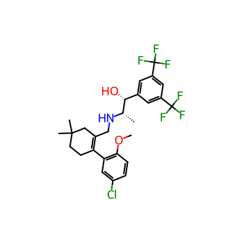 COc1ccc(Cl)cc1C1=C(CN[C@@H](C)[C@H](O)c2cc(C(F)(F)F)cc(C(F)(F)F)c2)CC(C)(C)CC1